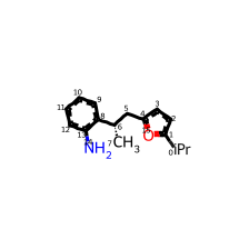 CC(C)c1ccc(C[C@H](C)c2ccccc2N)o1